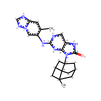 Cc1cc2ncnn2cc1Nc1ncc2[nH]c(=O)n(C34CC5CC6(C#N)CC(C3)C64C5)c2n1